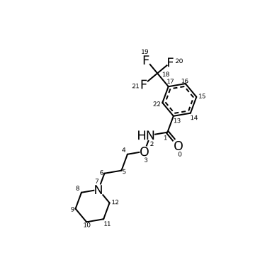 O=C(NOCCCN1CCCCC1)c1cccc(C(F)(F)F)c1